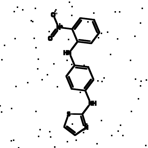 O=[N+]([O-])c1ccccc1Nc1ccc(Nc2nccs2)cc1